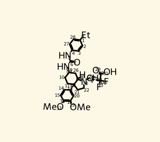 CCc1ccc(NC(=O)N[C@@H]2CC[C@@]3(c4ccc(OC)c(OC)c4)CCN(C)[C@H]3C2)cc1.O=C(O)C(F)(F)F